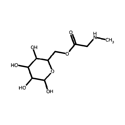 CNCC(=O)OCC1OC(O)C(O)C(O)C1O